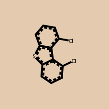 Clc1cccc2sc3cccc(Cl)c3c12